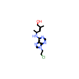 CC(=CC(C)Nc1ncnc2c1ncn2CCCl)CO